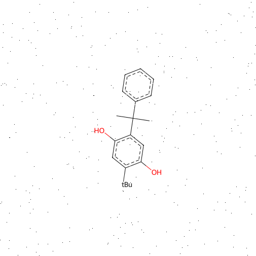 CC(C)(C)c1cc(O)c(C(C)(C)c2ccccc2)cc1O